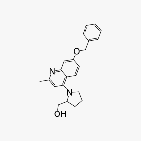 Cc1cc(N2CCCC2CO)c2ccc(OCc3ccccc3)cc2n1